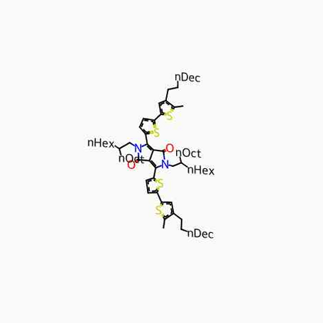 CCCCCCCCCCCCc1cc(-c2ccc(C3=C4C(=O)N(CC(CCCCCC)CCCCCCCC)C(c5ccc(-c6cc(CCCCCCCCCCCC)c(C)s6)s5)=C4C(=O)N3CC(CCCCCC)CCCCCCCC)s2)sc1C